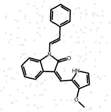 COc1cc[nH]c1C=C1C(=O)N(/C=C/c2ccccc2)c2ccccc21